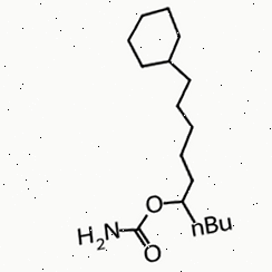 CCCCC(CCCCCC1CCCCC1)OC(N)=O